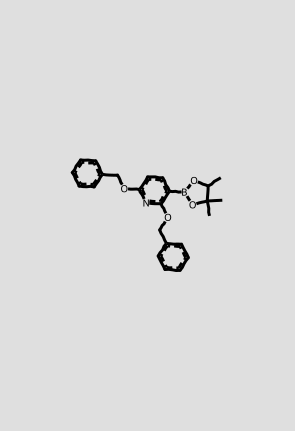 CC1OB(c2ccc(OCc3ccccc3)nc2OCc2ccccc2)OC1(C)C